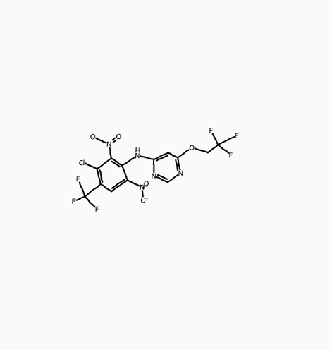 O=[N+]([O-])c1cc(C(F)(F)F)c(Cl)c([N+](=O)[O-])c1Nc1cc(OCC(F)(F)F)ncn1